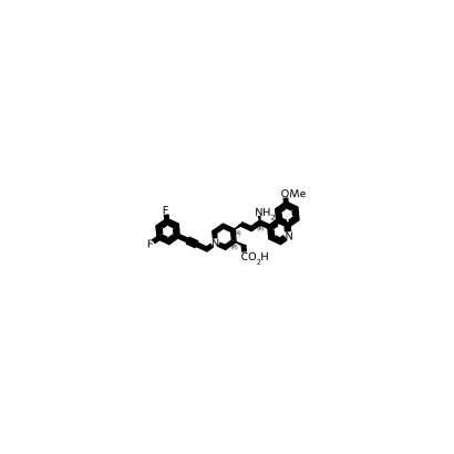 COc1ccc2nccc([C@H](N)CC[C@@H]3CCN(CC#Cc4cc(F)cc(F)c4)C[C@@H]3CC(=O)O)c2c1